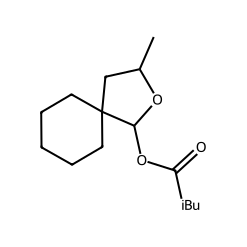 CCC(C)C(=O)OC1OC(C)CC12CCCCC2